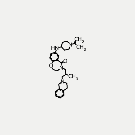 C=C(C)N1CCC(Nc2ccc3c(c2)C(=O)N(CC(C)CN2CCc4ccccc4C2)CCO3)CC1